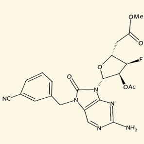 COC(=O)C[C@H]1O[C@@H](n2c(=O)n(Cc3cccc(C#N)c3)c3cnc(N)nc32)[C@H](OC(C)=O)[C@@H]1F